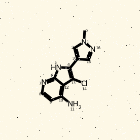 Cn1cc(-c2[nH]c3nccc(N)c3c2Cl)cn1